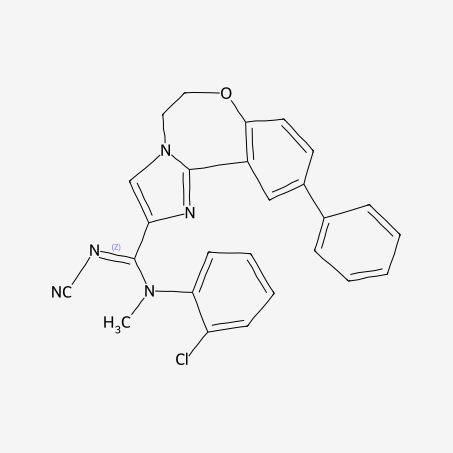 CN(/C(=N\C#N)c1cn2c(n1)-c1cc(-c3ccccc3)ccc1OCC2)c1ccccc1Cl